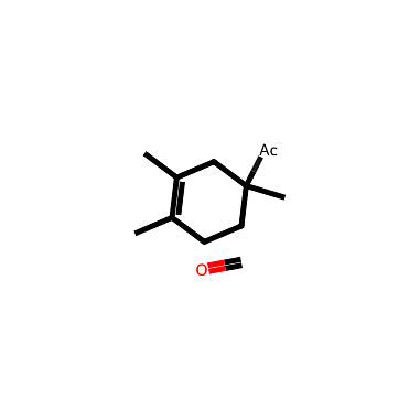 C=O.CC(=O)C1(C)CCC(C)=C(C)C1